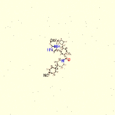 COCC1NC=C(c2cc(C(=O)N3CCC(c4ccc(C#N)cc4)CC3)c(C)cc2C2CCC2)N1